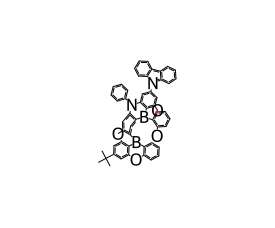 CC(C)(C)c1cc2c3c(c1)Oc1cccc4c1B3c1cc3c(cc1O2)N(c1ccccc1)c1cc(-n2c5ccccc5c5ccccc52)cc2c1B3c1c(cccc1O2)O4